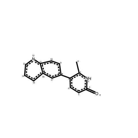 Cc1[nH]c(=O)ccc1-c1ccc2ncccc2c1